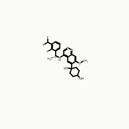 COc1cc2nncc(N[C@H](C)c3cccc(C(F)F)c3F)c2cc1C1(O)CCC(O)CC1